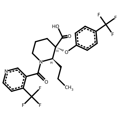 CCC[C@H]1N(C(=O)c2cnccc2C(F)(F)F)CCC[C@@]1(Oc1ccc(C(F)(F)F)cc1)C(=O)O